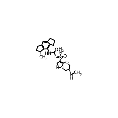 CN[C@@H]1COc2c([S@@](N)(=O)=NC(=O)Nc3c4c(cc5c3[C@H](C)CC5)CCC4)cnn2C1